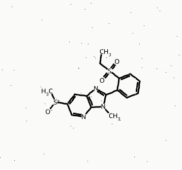 CCS(=O)(=O)c1ccccc1-c1nc2cc([S+](C)[O-])cnc2n1C